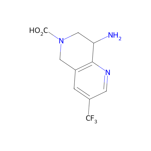 NC1CN(C(=O)O)Cc2cc(C(F)(F)F)cnc21